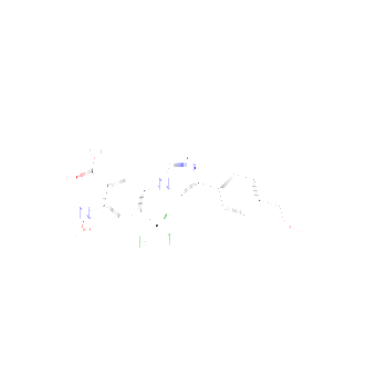 COCc1ccc(-c2cn(-c3cc(C(=O)OC)c(NO)cc3C(F)(F)F)cn2)cc1